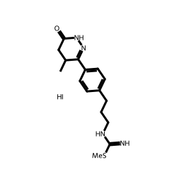 CSC(=N)NCCCc1ccc(C2=NNC(=O)CC2C)cc1.I